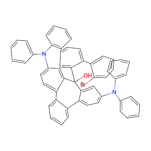 OC1(c2ccccc2-c2ccccc2Br)c2cc(N(c3ccccc3)c3ccccc3)ccc2-c2ccccc2-c2ccc(N(c3ccccc3)c3ccccc3)cc21